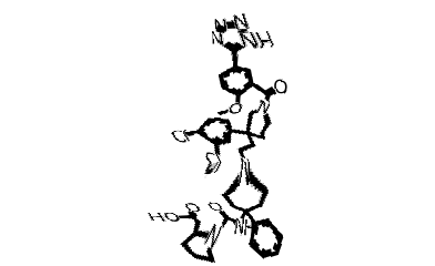 COc1ccc(-c2nnn[nH]2)cc1C(=O)N1CCC(CCN2CCC(NC(=O)N3CCCC3C(=O)O)(c3ccccc3)CC2)(c2ccc(Cl)c(Cl)c2)C1